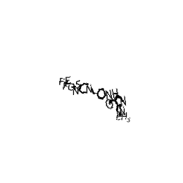 Cn1cc2c(C(=O)N[C@H]3CC[C@H](CCN4CCc5nc(OCC(F)(F)F)sc5CC4)CC3)ccnc2n1